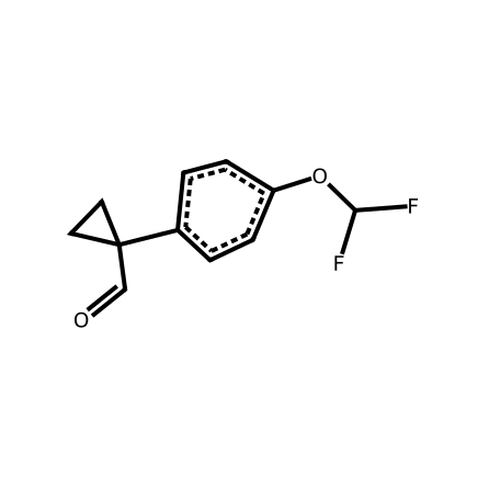 O=CC1(c2ccc(OC(F)F)cc2)CC1